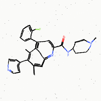 Cc1cc2nc(C(=O)NC3CCN(C)CC3)cc(-c3ccccc3F)c2c(C)c1-c1ccncc1